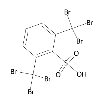 O=S(=O)(O)c1c(C(Br)(Br)Br)cccc1C(Br)(Br)Br